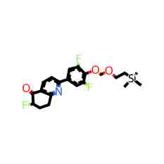 C[Si](C)(C)CCOCOc1c(F)cc(-c2ccc3c(n2)CCC(F)C3=O)cc1F